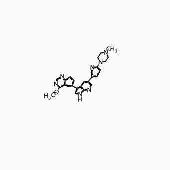 COc1ncnc2ccc(-c3c[nH]c4ncc(-c5ccc(N6CCN(C)CC6)nc5)cc34)cc12